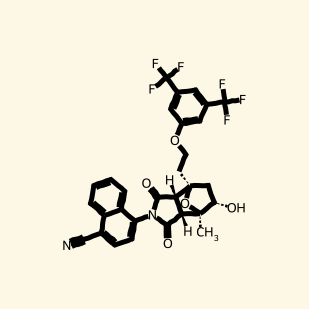 C[C@]12O[C@](CCOc3cc(C(F)(F)F)cc(C(F)(F)F)c3)(C[C@@H]1O)[C@H]1C(=O)N(c3ccc(C#N)c4ccccc34)C(=O)[C@H]12